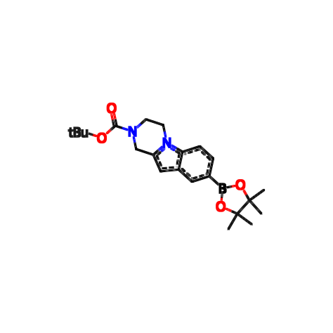 CC(C)(C)OC(=O)N1CCn2c(cc3cc(B4OC(C)(C)C(C)(C)O4)ccc32)C1